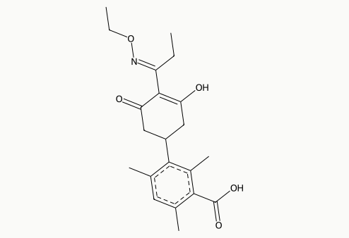 CCON=C(CC)C1=C(O)CC(c2c(C)cc(C)c(C(=O)O)c2C)CC1=O